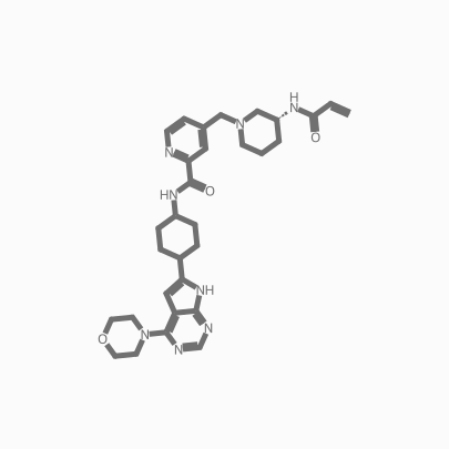 C=CC(=O)N[C@@H]1CCCN(Cc2ccnc(C(=O)NC3CCC(c4cc5c(N6CCOCC6)ncnc5[nH]4)CC3)c2)C1